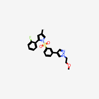 [CH2]c1cc(-c2ccccc2F)n(S(=O)(=O)c2cccc(-c3cnn(CCOC)c3)c2)c1